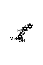 COc1cc(CC(=O)Nc2ccc(-c3ccccc3)cc2)ccc1O